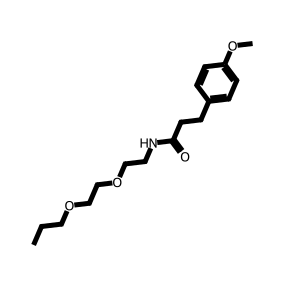 CCCOCCOCCNC(=O)CCc1ccc(OC)cc1